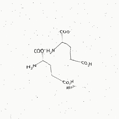 N[C@@H](CCC(=O)O)C(=O)[O-].N[C@@H](CCC(=O)O)C(=O)[O-].[Mn+2]